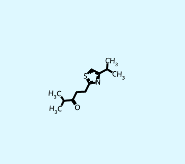 CC(C)C(=O)CCc1nc(C(C)C)cs1